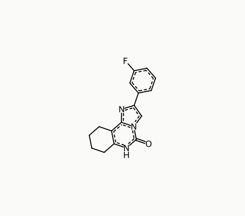 O=c1[nH]c2c(c3nc(-c4cccc(F)c4)cn13)CCCC2